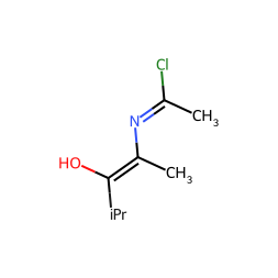 CC(/N=C(\C)Cl)=C(/O)C(C)C